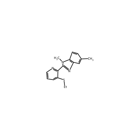 CCSc1cccnc1-c1nc2cc(C)ccc2n1C